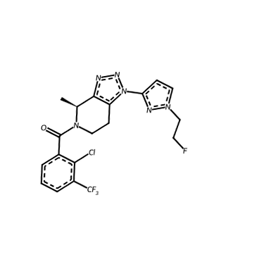 C[C@H]1c2nnn(-c3ccn(CCF)n3)c2CCN1C(=O)c1cccc(C(F)(F)F)c1Cl